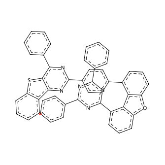 c1ccc(-c2nc(-c3ccccc3)nc(-c3cccc4oc5cccc(-c6ccc(-c7nc(-c8ccccc8)c8sc9ccccc9c8n7)cc6)c5c34)n2)cc1